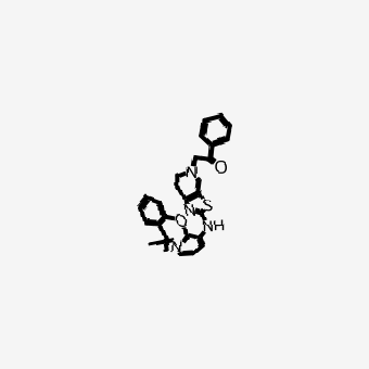 CC(C)(C)c1ccccc1Oc1ncccc1Nc1nc2c(s1)CN(CC(=O)c1ccccc1)CC2